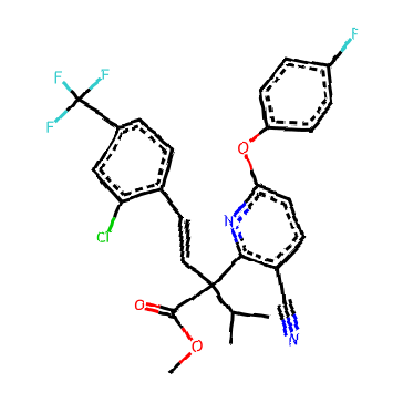 COC(=O)C(C=Cc1ccc(C(F)(F)F)cc1Cl)(c1nc(Oc2ccc(F)cc2)ccc1C#N)C(C)C